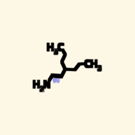 CCCC(/C=C/N)CCC